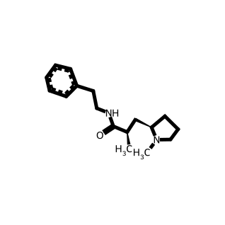 C[C@H](C[C@H]1CCCN1C)C(=O)NCCc1ccccc1